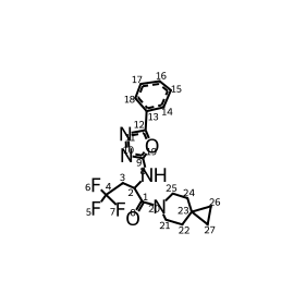 O=C(C(CC(F)(F)F)Nc1nnc(-c2ccccc2)o1)N1CCC2(CC1)CC2